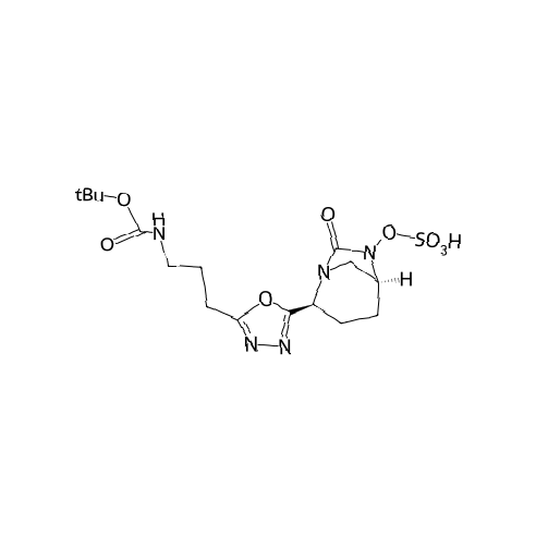 CC(C)(C)OC(=O)NCCCc1nnc([C@@H]2CC[C@H]3CN2C(=O)N3OS(=O)(=O)O)o1